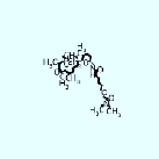 CC[C@H](OC)[C@@H](C)[C@H]1O[C@]1(C)C[C@H](C)/C=C/C=C(\C)[C@H]1O[C@@H](CNC(=O)CCCCCOCC(=O)N(CC)CC)CC[C@@H]1C